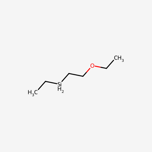 CCOCC[SiH2]CC